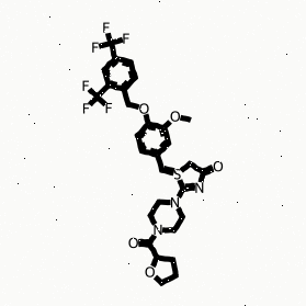 COc1cc(C=S2CC(=O)N=C2N2CCN(C(=O)C3CCCO3)CC2)ccc1OCc1ccc(C(F)(F)F)cc1C(F)(F)F